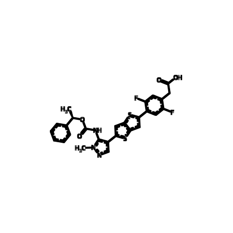 C[C@@H](OC(=O)Nc1c(-c2cc3sc(-c4cc(F)c(CC(=O)O)cc4F)cc3s2)cnn1C)c1ccccc1